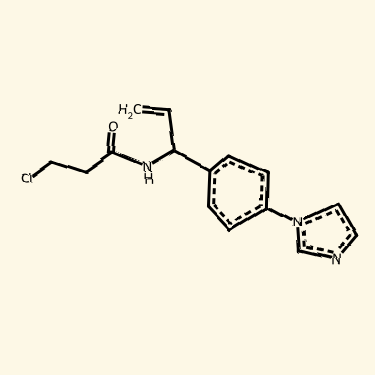 C=CC(NC(=O)CCCl)c1ccc(-n2ccnc2)cc1